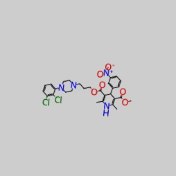 COC(=O)C1=C(C)NC(C)=C(C(=O)OCCCN2CCN(c3cccc(Cl)c3Cl)CC2)C1c1cccc([N+](=O)[O-])c1